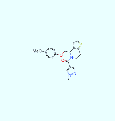 COc1ccc(OCC2c3ccsc3CCN2C(=O)c2cnn(C)c2)cc1